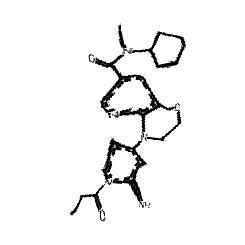 CCC(=O)n1ccc(N2CCOc3cc(C(=O)N(C)C4CCCC4)cnc32)cc1=N